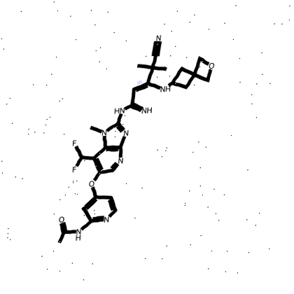 CC(=O)Nc1cc(Oc2cnc3nc(NC(=N)/C=C(\NC4CC5(COC5)C4)C(C)(C)C#N)n(C)c3c2C(F)F)ccn1